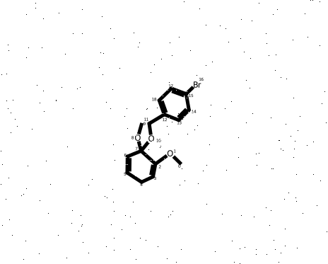 COC1=CCC=CC1(OC)OCc1ccc(Br)cc1